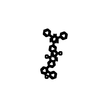 O=C1c2cc(-c3nc(-c4ccccc4)nc(-c4ccccc4)n3)ccc2-n2c1nc1ccc(-c3cccc4oc5ccccc5c34)cc1c2=O